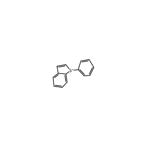 c1ccc(-[s+]2ccc3ccccc32)cc1